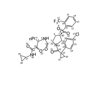 CCCC(NC(=O)[C@@H]1C[C@@H](S(=O)(=O)c2ccccc2C(F)(F)F)CN1C(=O)C1(c2ccc(Cl)cc2)CC1)C(=O)C(=O)NC1CC1